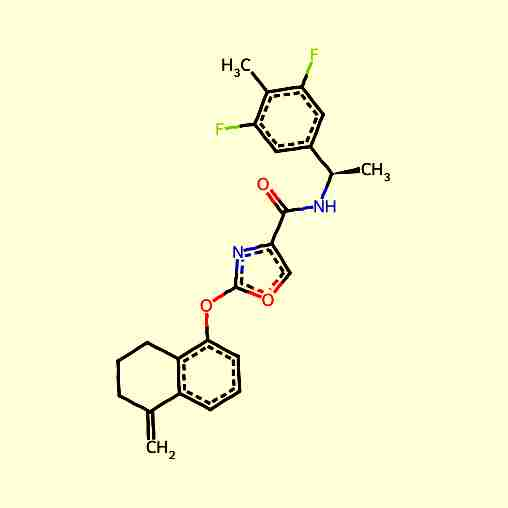 C=C1CCCc2c(Oc3nc(C(=O)N[C@H](C)c4cc(F)c(C)c(F)c4)co3)cccc21